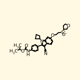 CC(C)OC(=O)Nc1ccc(-c2c(C#N)c3ccc(OCC[S+]([O-])C4CCOC4)cc3n2C2CCC2)cc1